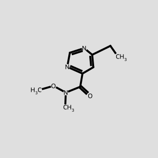 CCc1cc(C(=O)N(C)OC)ncn1